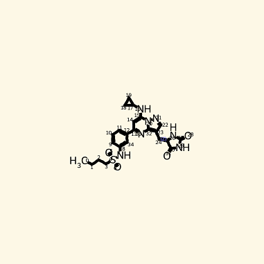 CCCCS(=O)(=O)Nc1cccc(-c2cc(NC3CC3)n3ncc(/C=C4\NC(=O)NC4=O)c3n2)c1